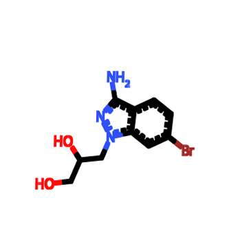 Nc1nn(CC(O)CO)c2cc(Br)ccc12